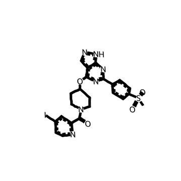 CS(=O)(=O)c1ccc(-c2nc(OC3CCN(C(=O)c4cc(I)ccn4)CC3)c3cn[nH]c3n2)cc1